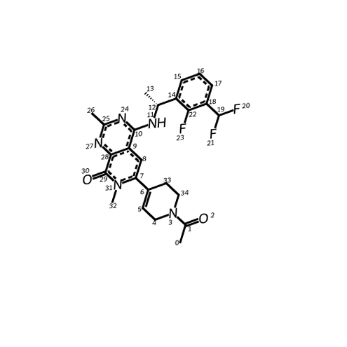 CC(=O)N1CC=C(c2cc3c(N[C@H](C)c4cccc(C(F)F)c4F)nc(C)nc3c(=O)n2C)CC1